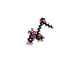 CCCCCCCC1(CCCCCC/C=C/[C@H](C(=O)N[C@@H](Cc2ccc(O)cc2)C(=O)OC)[C@@](O)(CCF)C(=O)OC(C)(C)C)OCCO1